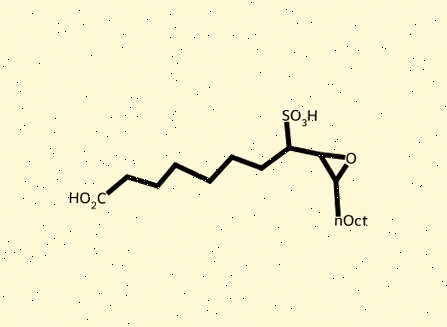 CCCCCCCCC1OC1C(CCCCCCC(=O)O)S(=O)(=O)O